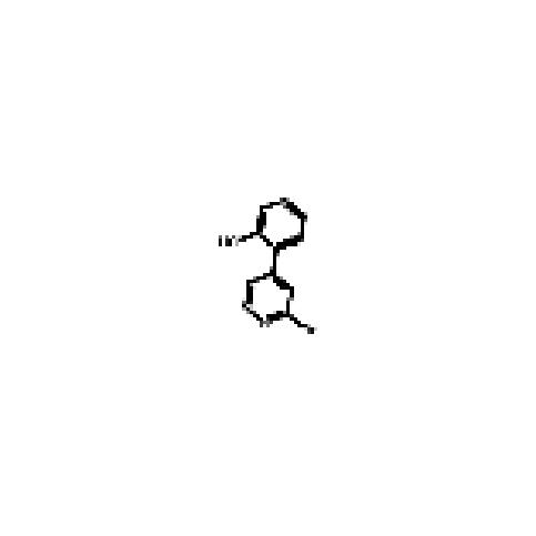 Oc1ccccc1-c1ccnc(Br)c1